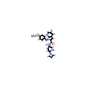 COc1ccc(Cn2c(C(=O)Nc3ccc(N4CCC4)nc3)cc3cc(F)cnc32)cc1